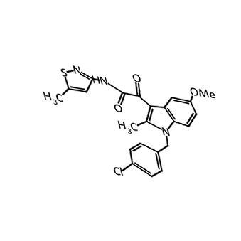 COc1ccc2c(c1)c(C(=O)C(=O)Nc1cc(C)sn1)c(C)n2Cc1ccc(Cl)cc1